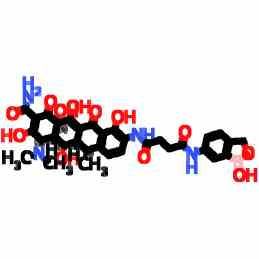 C[C@H]1c2ccc(NC(=O)CCC(=O)Nc3ccc4c(c3)B(O)OC4)c(O)c2C(=O)C2=C(O)[C@]3(O)C(=O)C(C(N)=O)=C(O)[C@@H](N(C)C)[C@@H]3[C@@H](O)[C@@H]21